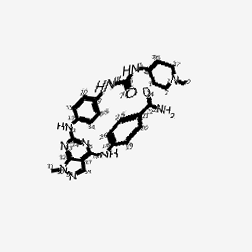 CN1CCC(NC(=O)Nc2ccc(Nc3nc(Nc4ccc(C(N)=O)cc4)c4cnn(C)c4n3)cc2)CC1